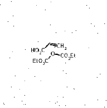 C=CC(=O)O.CCOC(=O)OC(=O)OCC